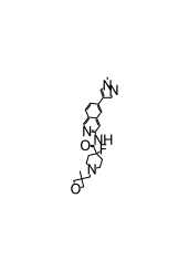 Cn1cc(-c2ccc3cnc(NC(=O)C4(F)CCN(CC5(C)COC5)CC4)cc3c2)cn1